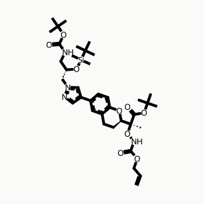 C=CCOC(=O)NO[C@](C)(C(=O)OC(C)(C)C)[C@H]1CCc2cc(-c3cnn(C[C@H](CNC(=O)OC(C)(C)C)O[Si](C)(C)C(C)(C)C)c3)ccc2O1